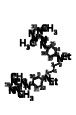 CCN(CCCCN(CC)c1ccc(N=Nc2n(C)nc[n+]2C)cc1)c1ccc(N=Nc2n(C)nc[n+]2C)cc1